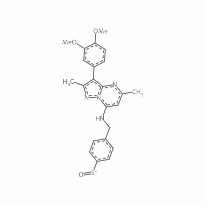 COc1ccc(-c2c(C)nn3c(NCc4ccc([S+]=O)cc4)cc(C)nc23)cc1OC